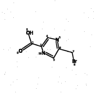 O=C(O)c1cnc(CBr)cn1